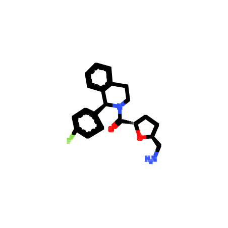 NC[C@@H]1CC[C@@H](C(=O)N2CCc3ccccc3[C@@H]2c2ccc(F)cc2)O1